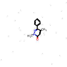 Cc1cc(=O)n(C)nc1-c1ccccc1